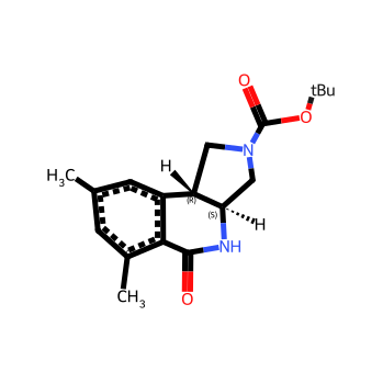 Cc1cc(C)c2c(c1)[C@@H]1CN(C(=O)OC(C)(C)C)C[C@H]1NC2=O